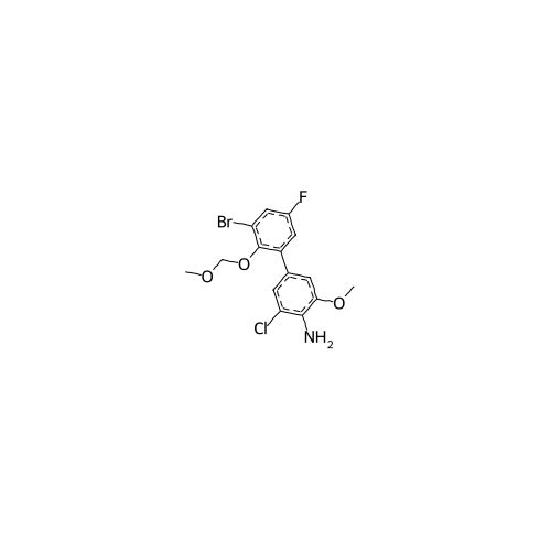 COCOc1c(Br)cc(F)cc1-c1cc(Cl)c(N)c(OC)c1